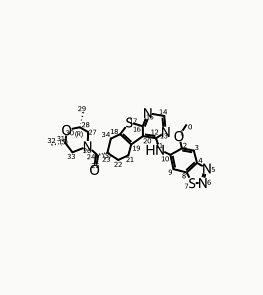 COc1cc2nnsc2cc1Nc1ncnc2sc3c(c12)CC[C@H](C(=O)N1C[C@@H](C)O[C@@H](C)C1)C3